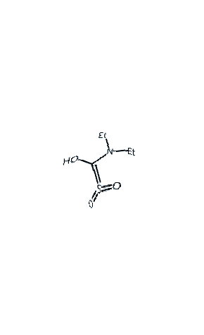 CCN(CC)C(O)=S(=O)=O